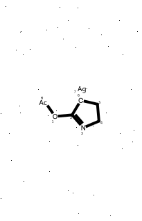 CC(=O)OC1=NCCO1.[Ag]